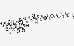 CCCCOCCOCCOCCCNC(=O)CCCCC1SCC2C1NC(=O)N2C(=O)c1ccc(C(C)(C)C)cc1